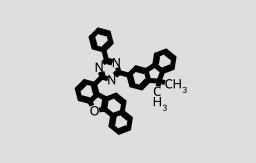 CC1(C)c2ccccc2-c2cc(-c3nc(-c4ccccc4)nc(-c4cccc5oc6c7ccccc7ccc6c45)n3)ccc21